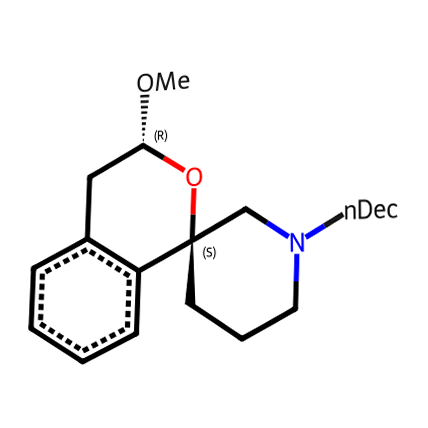 CCCCCCCCCCN1CCC[C@]2(C1)O[C@@H](OC)Cc1ccccc12